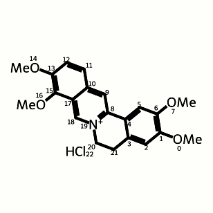 COc1cc2c(cc1OC)-c1cc3ccc(OC)c(OC)c3c[n+]1CC2.Cl